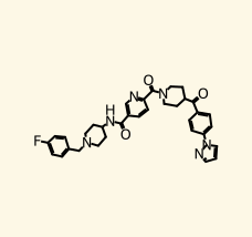 O=C(NC1CCN(Cc2ccc(F)cc2)CC1)c1ccc(C(=O)N2CCC(C(=O)c3ccc(-n4cccn4)cc3)CC2)nc1